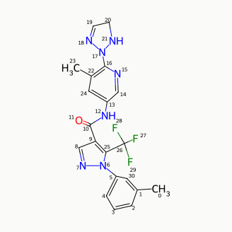 Cc1cccc(-n2ncc(C(=O)Nc3cnc(N4N=CCN4)c(C)c3)c2C(F)(F)F)c1